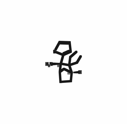 CCC1(CC)[C@H]2CCC(C2)[C@]1(N)c1cccs1